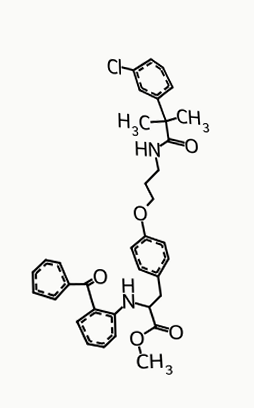 COC(=O)C(Cc1ccc(OCCCNC(=O)C(C)(C)c2cccc(Cl)c2)cc1)Nc1ccccc1C(=O)c1ccccc1